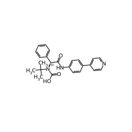 CC(C)(C)N(C(=O)O)[C@H](C(=O)Nc1ccc(-c2ccncc2)cc1)c1ccccc1